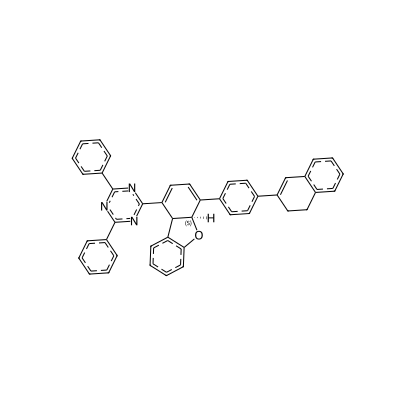 C1=C(c2ccc(C3=CC=C(c4nc(-c5ccccc5)nc(-c5ccccc5)n4)C4c5ccccc5O[C@H]34)cc2)CCc2ccccc21